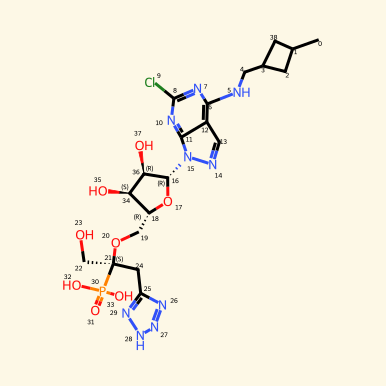 CC1CC(CNc2nc(Cl)nc3c2cnn3[C@@H]2O[C@H](CO[C@@](CO)(Cc3nn[nH]n3)P(=O)(O)O)[C@@H](O)[C@H]2O)C1